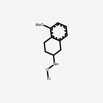 CCONC1CCc2c(cccc2OC)C1